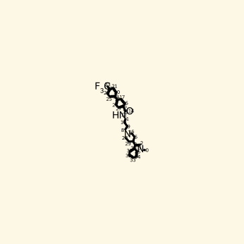 Cn1cc(C2CCN(CCCCNC(=O)c3ccc(-c4ccc(C(F)(F)F)cc4)cc3)CC2)c2ccccc21